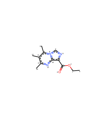 CCOC(=O)c1ncn2c(C)c(C)c(C)nc12